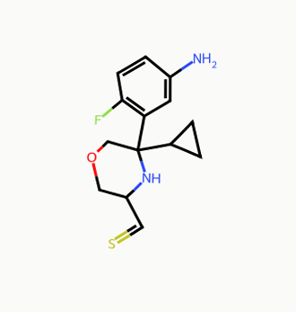 Nc1ccc(F)c(C2(C3CC3)COCC(C=S)N2)c1